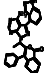 CC(c1oc(=O)c2ccccc2c1-c1ccccc1)n1nc(-c2cccc3[nH]ncc23)c2c(N)ncnc21